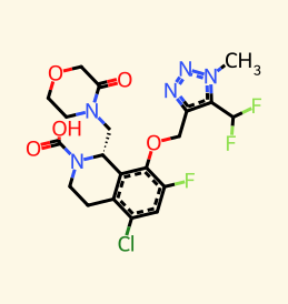 Cn1nnc(COc2c(F)cc(Cl)c3c2[C@@H](CN2CCOCC2=O)N(C(=O)O)CC3)c1C(F)F